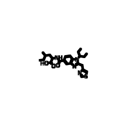 CCC(C)CC(NC(=O)c1ccc2c(c1)nc(Cc1cscn1)n2C(CC)CC)C(=O)O